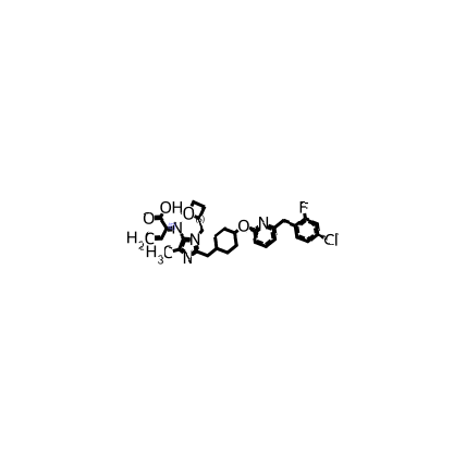 C=C/C(=N\c1c(C)nc(CC2CCC(Oc3cccc(Cc4ccc(Cl)cc4F)n3)CC2)n1C[C@@H]1CCO1)C(=O)O